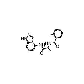 Cc1ccccc1C(=O)NC(C)C(=O)Nc1cccc2[nH]ncc12